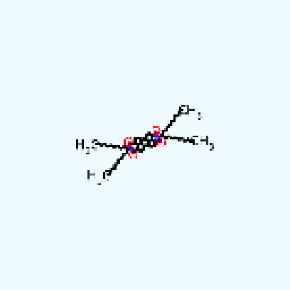 CCCCCCCCCCC(CCCCCCCCCC)N1C(=O)c2ccc3c4ccc5c6c(ccc(c7ccc(c2c37)C1=O)c64)C(=O)N(C(CCCCCCCCCC)CCCCCCCCCC)C5=O